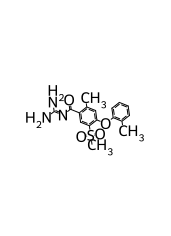 Cc1ccccc1Oc1cc(C)c(C(=O)N=C(N)N)cc1S(C)(=O)=O